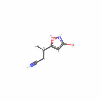 C[C@H](CC#N)c1cc(O)no1